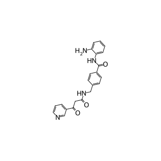 Nc1ccccc1NC(=O)c1ccc(CNC(=O)CC(=O)c2cccnc2)cc1